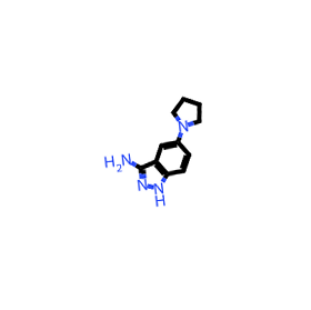 Nc1n[nH]c2ccc(N3CCCC3)cc12